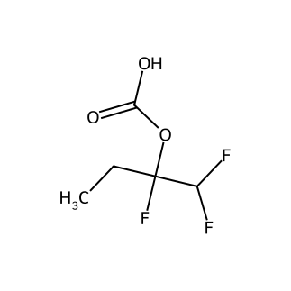 CCC(F)(OC(=O)O)C(F)F